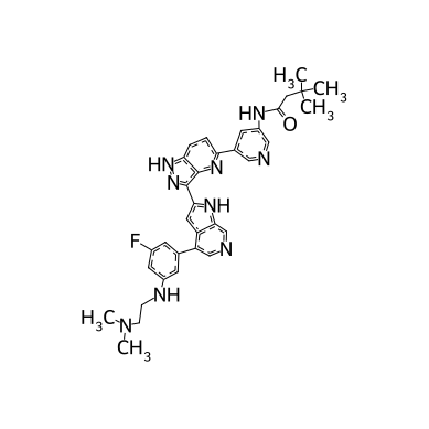 CN(C)CCNc1cc(F)cc(-c2cncc3[nH]c(-c4n[nH]c5ccc(-c6cncc(NC(=O)CC(C)(C)C)c6)nc45)cc23)c1